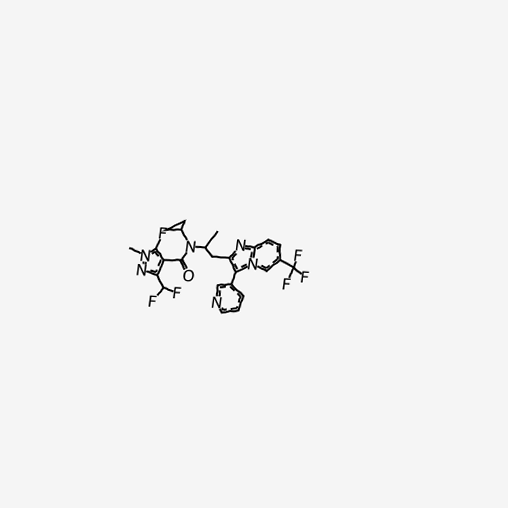 CC(Cc1nc2ccc(C(F)(F)F)cn2c1-c1cccnc1)N(C(=O)c1c(C(F)F)nn(C)c1F)C1CC1